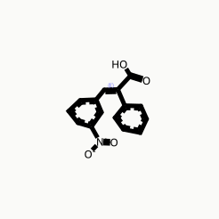 O=C(O)/C(=C/c1cccc([N+](=O)[O-])c1)c1ccccc1